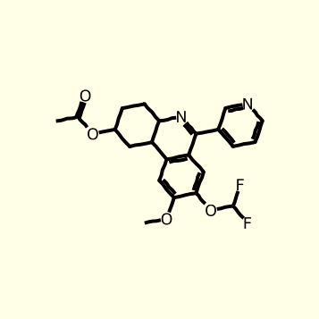 COc1cc2c(cc1OC(F)F)C(c1cccnc1)=NC1CCC(OC(C)=O)CC21